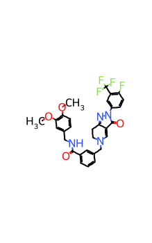 COc1ccc(CNC(=O)c2cccc(CN3C=C4C(=O)N(c5ccc(F)c(C(F)(F)F)c5)N=C4CC3)c2)cc1OC